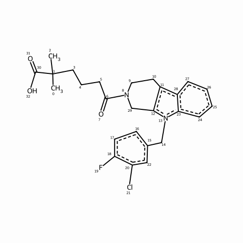 CC(C)(CCCC(=O)N1CCc2c(n(Cc3ccc(F)c(Cl)c3)c3ccccc23)C1)C(=O)O